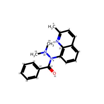 Cc1ccc2cccc(N(C(=O)c3ccccc3)N(C)C)c2n1